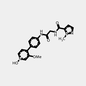 COc1c[n+](O)ccc1-c1ccc(NC(=O)CNC(=O)c2ccnn2C)cc1